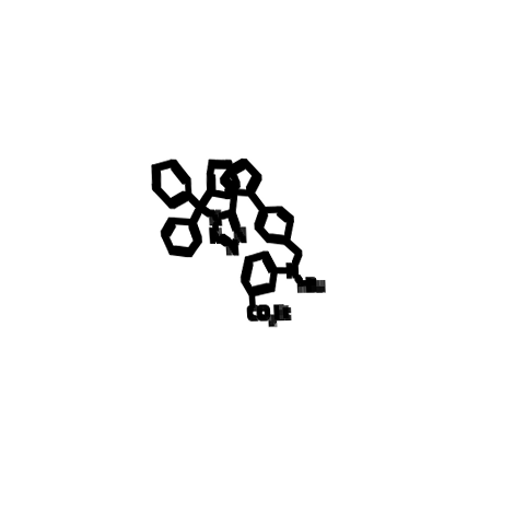 CCCCN(Cc1ccc(-c2ccccc2-c2nnnn2C(c2ccccc2)(c2ccccc2)c2ccccc2)cc1)c1cccc(C(=O)OCC)c1